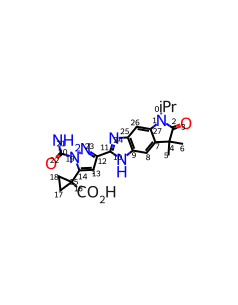 CC(C)N1C(=O)C(C)(C)c2cc3[nH]c(-c4[c]c(C5(C(=O)O)CC5)n(C(N)=O)n4)nc3cc21